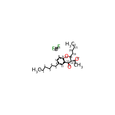 CCCCCCc1ccc2c(c1)C(=O)C(C(C)=O)C(CCCC)O2.F[B]F